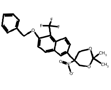 CC1(C)OCC(c2ccc3c(C(F)(F)F)c(OCc4ccccc4)ccc3c2)([N+](=O)[O-])CO1